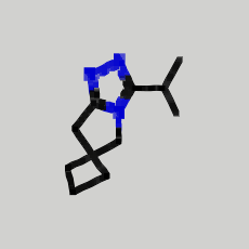 CC(C)c1nnc2n1CC1(CCC1)C2